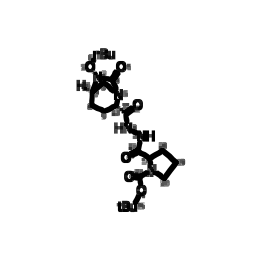 CCCCON1C(=O)N2C[C@H]1CC[C@H]2C(=O)NNC(=O)C1CCCN1C(=O)OC(C)(C)C